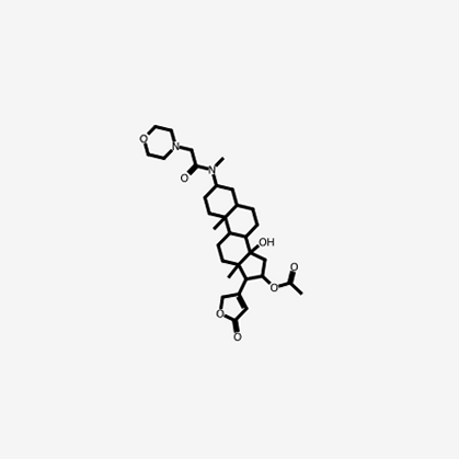 CC(=O)OC1CC2(O)C3CCC4CC(N(C)C(=O)CN5CCOCC5)CCC4(C)C3CCC2(C)C1C1=CC(=O)OC1